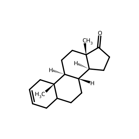 C[C@]12CC=CCC1CC[C@@H]1[C@@H]2CC[C@]2(C)C(=O)CC[C@@H]12